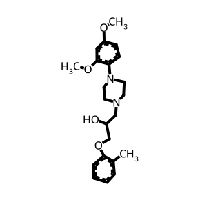 COc1ccc(N2CCN(CC(O)COc3ccccc3C)CC2)c(OC)c1